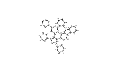 c1ccc(-c2ccc3c(c2)c2c(-c4ccccc4)nc(-c4ccccc4)n2c2ccc4c5ccccc5n(-c5ccccc5)c4c32)cc1